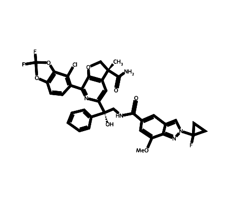 COc1cc(C(=O)NC[C@@](O)(c2ccccc2)c2cc3c(c(-c4ccc5c(c4Cl)OC(F)(F)O5)n2)OC[C@]3(C)C(N)=O)cc2cn(C3(F)CC3)nc12